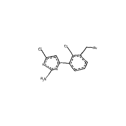 CC(C)(C)Cc1cccc(-c2cc(Cl)nc(N)n2)c1Cl